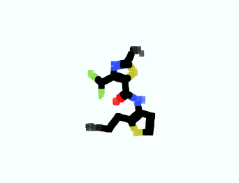 Cc1nc(C(F)F)c(C(=O)Nc2ccsc2CCC(C)(C)C)s1